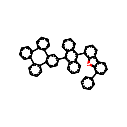 c1ccc(-c2cccc3c2oc2c(-c4c5ccccc5c(-c5ccc6c(c5)-c5ccccc5-c5ccccc5-c5ccccc5-6)c5ccccc45)cccc23)cc1